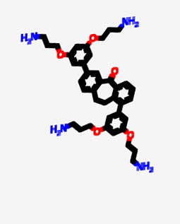 NCCCOc1cc(OCCCN)cc(-c2ccc3c(c2)C(=O)c2cccc(-c4cc(OCCCN)cc(OCCCN)c4)c2CC3)c1